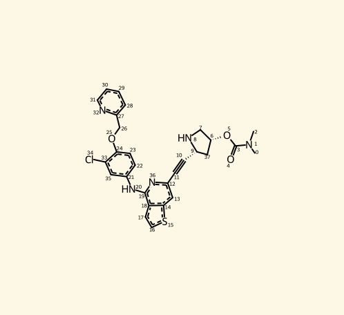 CN(C)C(=O)O[C@H]1CN[C@@H](C#Cc2cc3sccc3c(Nc3ccc(OCc4ccccn4)c(Cl)c3)n2)C1